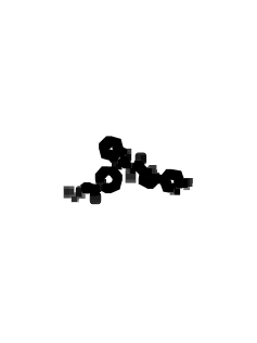 C=CC(=O)N1CCC[C@@H](n2c(NC(=O)c3ccc(-c4ccc(F)nc4)s3)nc3ccccc32)CC1